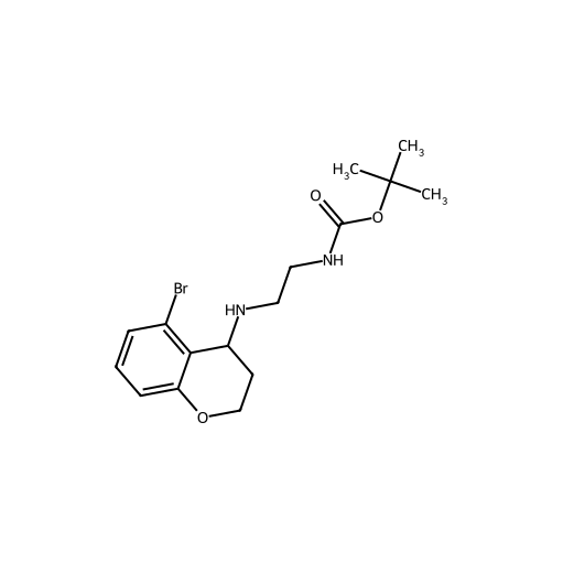 CC(C)(C)OC(=O)NCCNC1CCOc2cccc(Br)c21